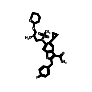 C[C@@H](COC1CCCCO1)CN(c1cc2oc(Cc3ccc(F)cc3)c(C(N)=O)c2cc1C1CC1)S(C)(=O)=O